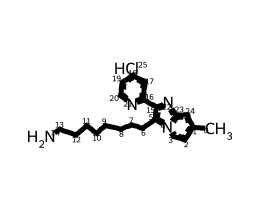 Cc1ccn2c(CCCCCCCCN)c(-c3ccccn3)nc2c1.Cl